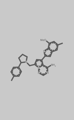 COc1cc(C)cc2cc(-c3cc(CN4CCCC4c4ccc(C)cc4)n4ncnc(N)c34)sc12